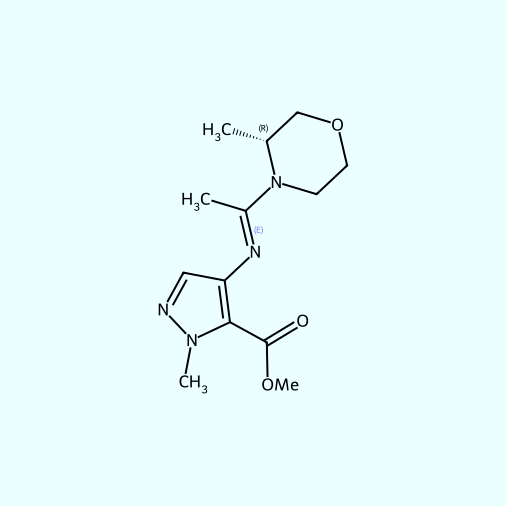 COC(=O)c1c(/N=C(\C)N2CCOC[C@H]2C)cnn1C